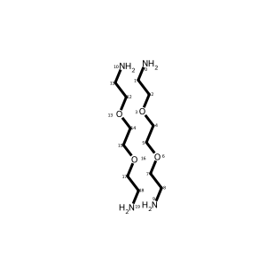 NCCOCCOCCN.NCCOCCOCCN